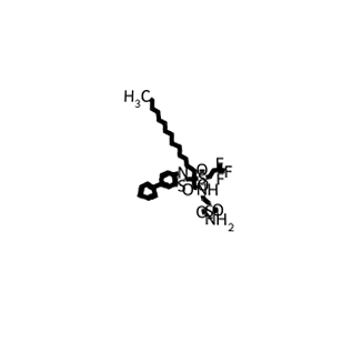 CCCCCCCCCCCCCCC(C(=O)NCCS(N)(=O)=O)(c1nc2ccc(-c3ccccc3)cc2s1)S(=O)(=O)CCC(F)(F)F